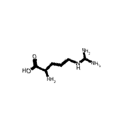 NC(N)NCCCC(N)C(=O)O